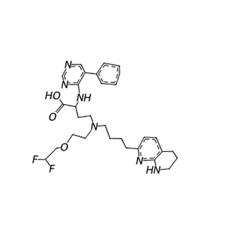 O=C(O)C(CCN(CCCCc1ccc2c(n1)NCCC2)CCOCC(F)F)Nc1ncncc1-c1ccccc1